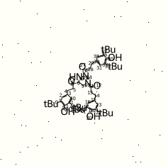 CC(C)(C)c1cc(CCC(=O)C2CN(C(=O)CCc3cc(C(C)(C)C)c(O)c(C(C)(C)C)c3)CN(C(=O)CCc3cc(C(C)(C)C)c(O)c(C(C)(C)C)c3)N2)cc(C(C)(C)C)c1O